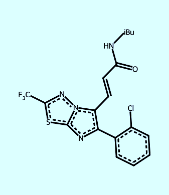 CCC(C)NC(=O)/C=C/c1c(-c2ccccc2Cl)nc2sc(C(F)(F)F)nn12